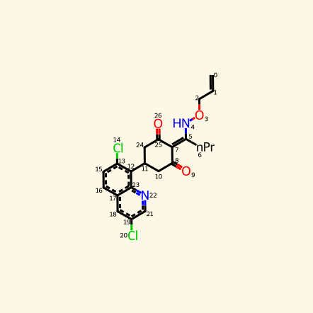 C=CCONC(CCC)=C1C(=O)CC(c2c(Cl)ccc3cc(Cl)cnc23)CC1=O